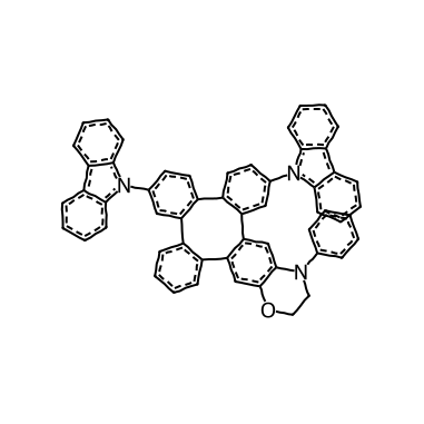 c1ccc(N2CCOc3cc4c(cc32)-c2cc(-n3c5ccccc5c5ccccc53)ccc2-c2ccc(-n3c5ccccc5c5ccccc53)cc2-c2ccccc2-4)cc1